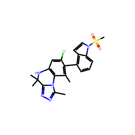 Cc1c(-c2cccc3c2ccn3S(C)(=O)=O)c(Cl)cc2c1-n1c(C)nnc1C(C)(C)N2